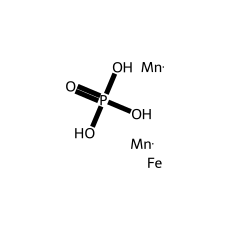 O=P(O)(O)O.[Fe].[Mn].[Mn]